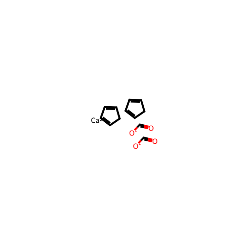 C1=CCC=C1.C1=CCC=C1.O=C[O-].O=C[O-].[Ca+2]